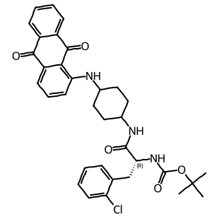 CC(C)(C)OC(=O)N[C@H](Cc1ccccc1Cl)C(=O)NC1CCC(Nc2cccc3c2C(=O)c2ccccc2C3=O)CC1